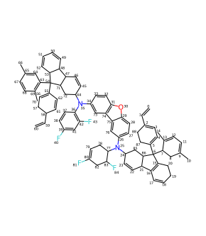 C=CC1=CC=C(C2(C3CC(C)=CC=C3C)C3=C(C=CCC3)C3C=CC(N(c4ccc5oc6ccc(N(c7ccc(F)cc7F)C7C=CC8C9C=CC=CC9C(C9=CCC(C=C)C=C9)(c9cc(C)ccc9C)C8C7)cc6c5c4)C4CC=C(F)CC4F)CC32)CC1